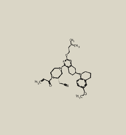 C=CC(=O)N1CCN(c2nc(OCCN(C)C)nc3c2CCC(N2CCCc4cc(OC)ccc42)C3)C[C@@H]1CC#N